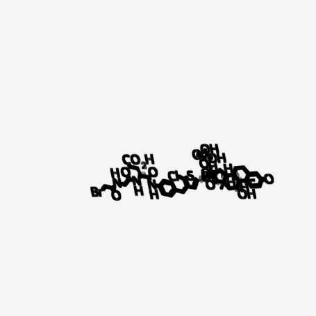 C[C@]12C=CC(=O)C=C1CC[C@@H]1[C@@H]2[C@@H](O)C[C@@]2(C)[C@H]1C[C@H]1O[C@@H](c3cc(Cc4ccc(NC(=O)[C@H](CCC(=O)O)NC(=O)CNC(=O)CBr)cc4)c(Cl)s3)O[C@]12C(=O)COP(=O)(O)O